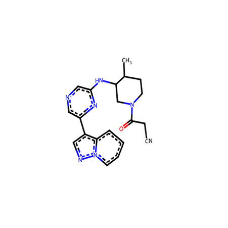 CC1CCN(C(=O)CC#N)CC1Nc1cncc(-c2cnn3ccccc23)n1